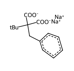 CC(C)(C)C(Cc1ccccc1)(C(=O)[O-])C(=O)[O-].[Na+].[Na+]